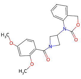 COc1ccc(C(=O)N2CC(N3C(=O)OCc4ccccc43)C2)c(OC)c1